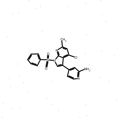 Cc1cc(Cl)c2c(-c3ccnc(N)c3)cn(S(=O)(=O)c3ccccc3)c2n1